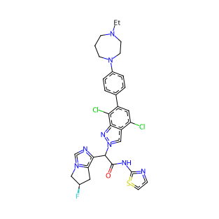 CCN1CCCN(c2ccc(-c3cc(Cl)c4cn(C(C(=O)Nc5nccs5)c5ncn6c5C[C@@H](F)C6)nc4c3Cl)cc2)CC1